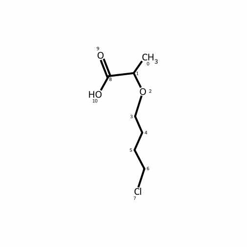 CC(OCCCCCl)C(=O)O